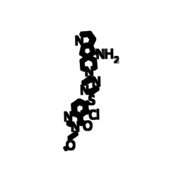 COCCn1cnc2ccc(Sc3cnc(N4CCC5(CC4)Cc4ncccc4[C@H]5N)cn3)c(Cl)c2c1=O